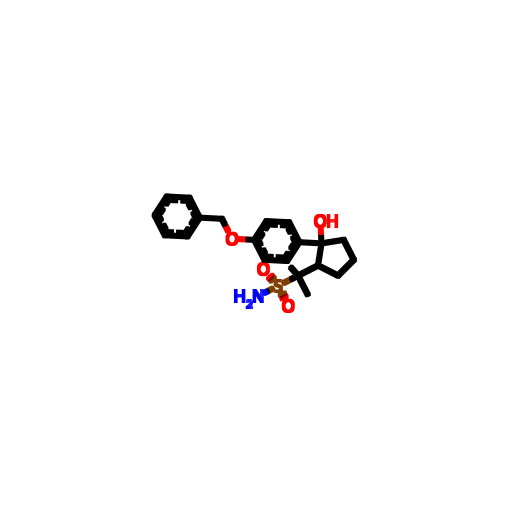 CC(C)(C1CCCC1(O)c1ccc(OCc2ccccc2)cc1)S(N)(=O)=O